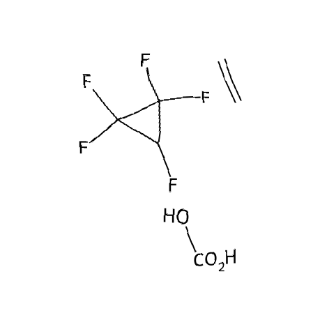 C=C.FC1C(F)(F)C1(F)F.O=C(O)O